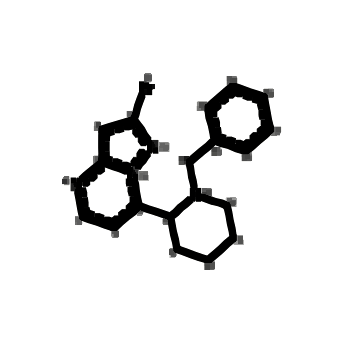 Brc1cc2nccc(C3CCCCN3Cc3ccccc3)n2n1